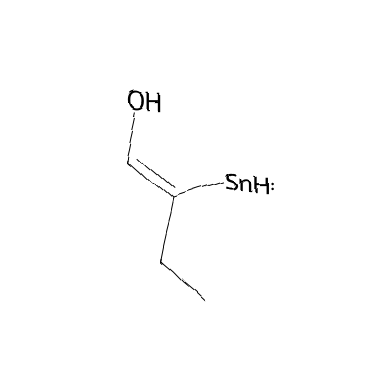 CC[C]([SnH])=CO